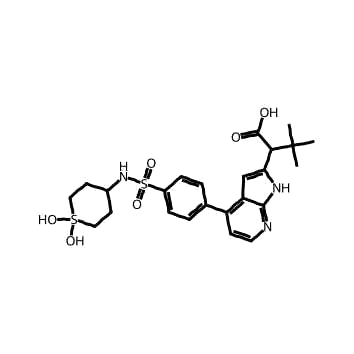 CC(C)(C)C(C(=O)O)c1cc2c(-c3ccc(S(=O)(=O)NC4CCS(O)(O)CC4)cc3)ccnc2[nH]1